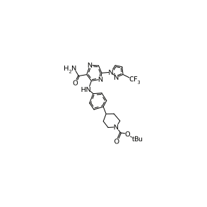 CC(C)(C)OC(=O)N1CCC(c2ccc(Nc3nc(-n4ccc(C(F)(F)F)n4)cnc3C(N)=O)cc2)CC1